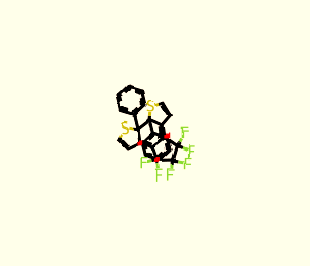 FC1(F)C2=C3C=CSC3(c3ccccc3)C3(c4ccccc4)SC=CC3=C2C(F)(F)C1(F)F